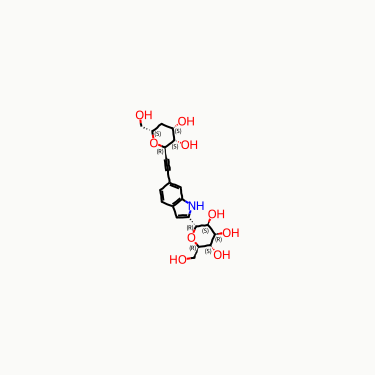 OC[C@@H]1C[C@H](O)[C@H](O)[C@@H](C#Cc2ccc3cc([C@H]4O[C@H](CO)[C@@H](O)[C@H](O)[C@@H]4O)[nH]c3c2)O1